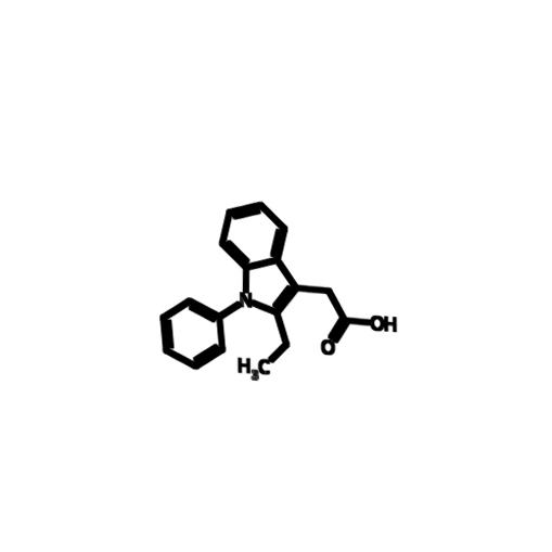 CCc1c(CC(=O)O)c2ccccc2n1-c1ccccc1